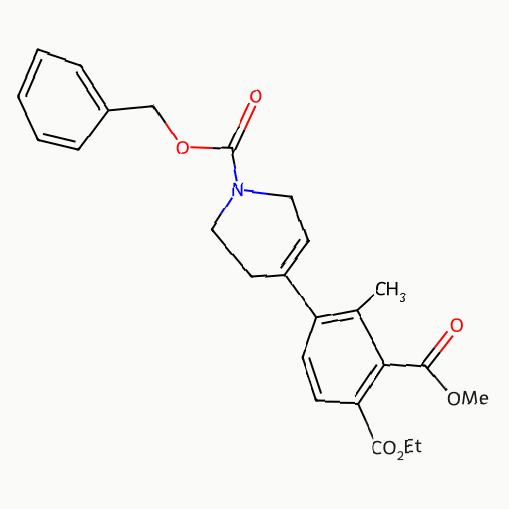 CCOC(=O)c1ccc(C2=CCN(C(=O)OCc3ccccc3)CC2)c(C)c1C(=O)OC